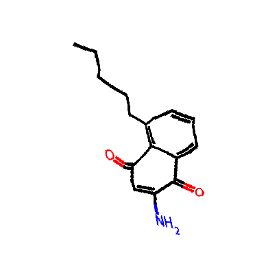 CCCCCc1cccc2c1C(=O)C=C(N)C2=O